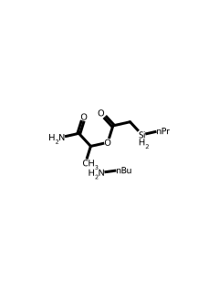 CCCCN.CCC[SiH2]CC(=O)OC(C)C(N)=O